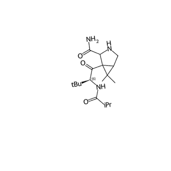 CC(C)C(=O)N[C@H](C(=O)C12C(C(N)=O)NCC1C2(C)C)C(C)(C)C